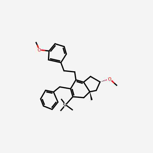 COc1cccc(CCC2=C3C[C@H](OC)C[C@]3(C)CC([Si](C)(C)C)=C2Cc2ccccc2)c1